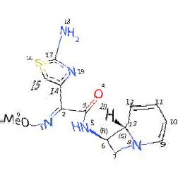 CON=C(C(=O)N[C@@H]1CN2C=CC=C[C@@H]12)c1csc(N)n1